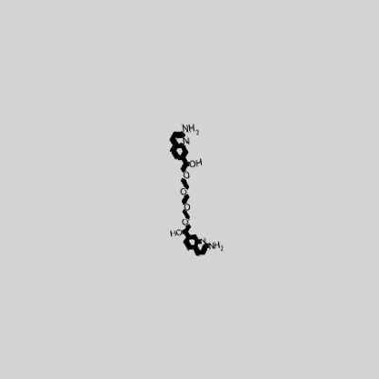 Nc1ccc2ccc(C(O)COCCOCCOCCOCC(O)c3ccc4ccc(N)nc4c3)cc2n1